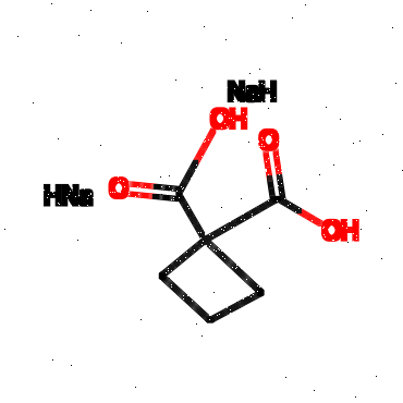 O=C(O)C1(C(=O)O)CCC1.[NaH].[NaH]